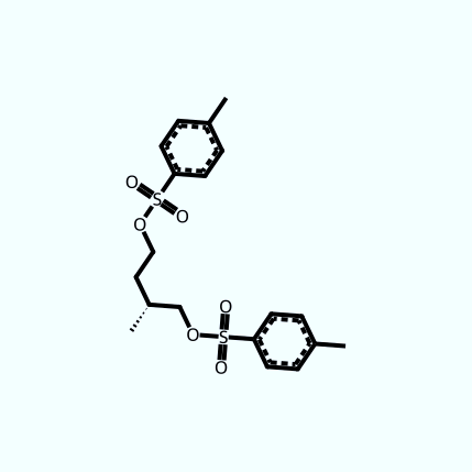 Cc1ccc(S(=O)(=O)OCC[C@@H](C)COS(=O)(=O)c2ccc(C)cc2)cc1